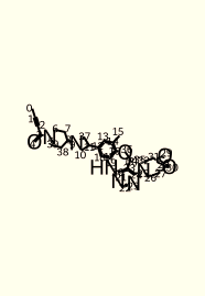 CC#CC(=O)N1CCC(N2CC(c3cc(C)c4c(c3)Nc3ncnc(N5CCS(=O)(=O)CC5)c3[C@@H](C)O4)C2)CC1